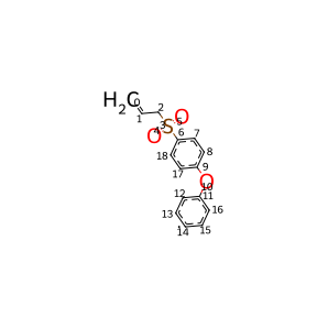 C=CCS(=O)(=O)c1ccc(Oc2cc[c]cc2)cc1